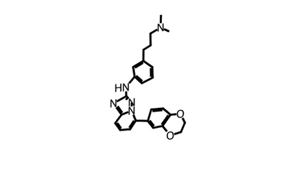 CN(C)CCCc1cccc(Nc2nc3cccc(-c4ccc5c(c4)OCCO5)n3n2)c1